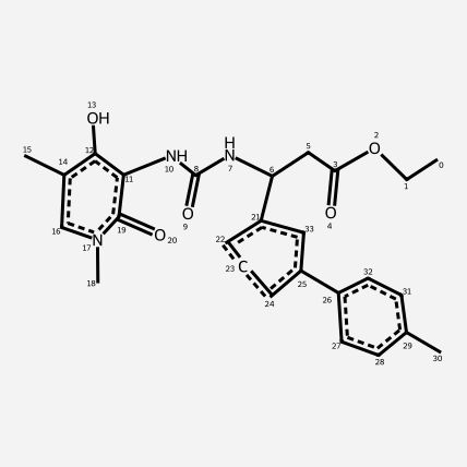 CCOC(=O)CC(NC(=O)Nc1c(O)c(C)cn(C)c1=O)c1cccc(-c2ccc(C)cc2)c1